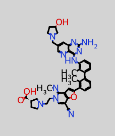 C/N=c1/c2cc(-c3cccc(-c4cccc(Nc5nc(N)nc6cc(CN7CC[C@@H](O)C7)cnc56)c4C)c3C)oc2c(C#N)cn1CCN1CC[C@H](C(=O)O)C1